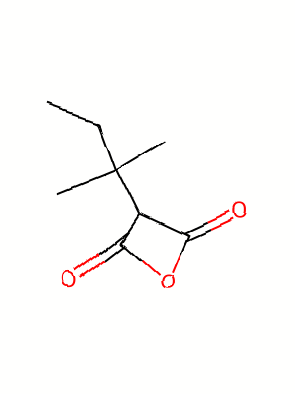 CCC(C)(C)C1C(=O)OC1=O